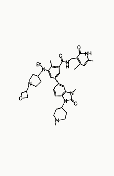 CCN(c1cc(-c2ccc3c(c2)n(C)c(=O)n3C2CCN(C)CC2)cc(C(=O)NCc2c(C)cc(C)[nH]c2=O)c1C)C1CCN(C2COC2)CC1